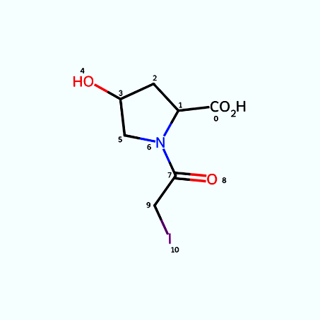 O=C(O)C1CC(O)CN1C(=O)CI